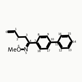 C=CCCC(=NOC)c1ccc(-c2ccccc2)cc1